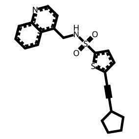 O=S(=O)(NCc1ccnc2ccccc12)c1ccc(C#CC2CCCC2)s1